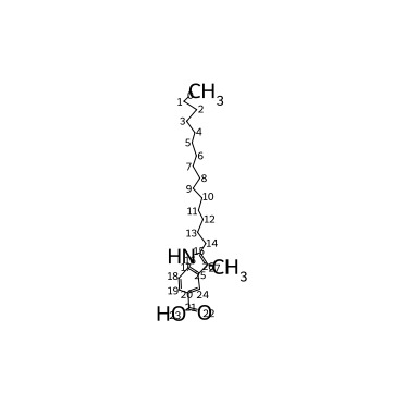 CCCCCCCCCCCCCCCc1[nH]c2ccc(C(=O)O)cc2c1C